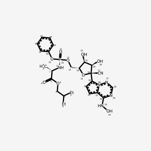 CCC(CC)COC(=O)[C@H](C)N[P@](=O)(OC[C@H]1O[C@@](C#N)(c2ccc3c(NO)ncnn23)[C@H](O)[C@@H]1O)Oc1ccccc1